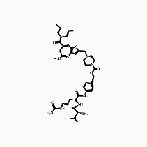 CCCN(CCC)C(=O)C1=Cc2sc(CN3CCN(C(=O)OCc4ccc(NC(=O)[C@H](CCCNC(N)=O)NC(=O)[C@@H](N)C(C)C)cc4)CC3)cc2N=C(N)C1